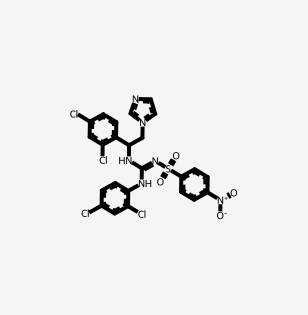 O=[N+]([O-])c1ccc(S(=O)(=O)/N=C(\Nc2ccc(Cl)cc2Cl)NC(Cn2ccnc2)c2ccc(Cl)cc2Cl)cc1